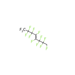 FCC(F)(F)C(F)(F)C(F)=C(F)C(F)(F)C(F)(F)C(F)(F)F